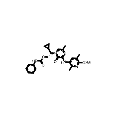 COc1nc(C)c(Nc2nc(C)cn([C@H](COC(=O)Nc3ccccc3)C3CC3)c2=O)cc1C